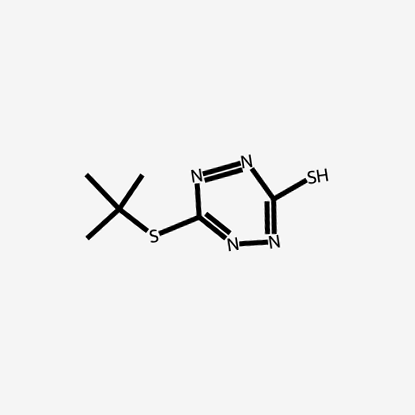 CC(C)(C)Sc1nnc(S)nn1